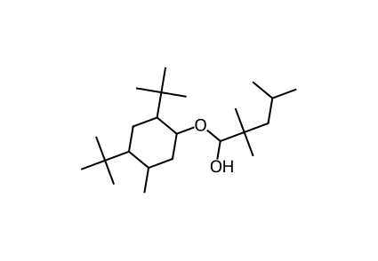 CC(C)CC(C)(C)C(O)OC1CC(C)C(C(C)(C)C)CC1C(C)(C)C